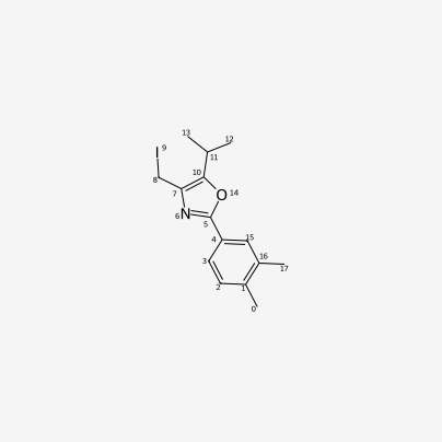 Cc1ccc(-c2nc(CI)c(C(C)C)o2)cc1C